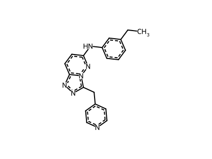 CCc1cccc(Nc2ccc3nnc(Cc4ccncc4)n3n2)c1